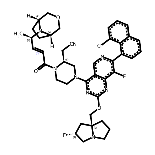 C[C@H](/C=C/C(=O)N1CCN(c2nc(OC[C@@]34CCCN3C[C@H](F)C4)nc3c(F)c(-c4cccc5cccc(Cl)c45)ncc23)C[C@@H]1CC#N)N1[C@@H]2CC[C@H]1COC2